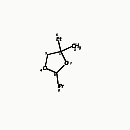 CCC1(C)COC(C(C)C)O1